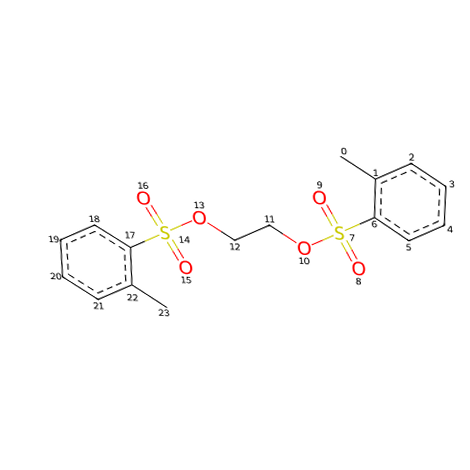 Cc1ccccc1S(=O)(=O)OCCOS(=O)(=O)c1ccccc1C